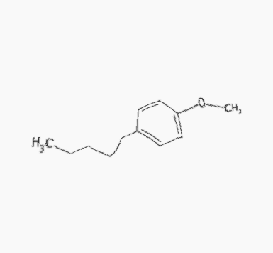 CCCCc1ccc(OC)cc1